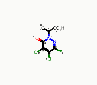 CC(C(=O)O)n1nc(F)c(Cl)c(Cl)c1=O